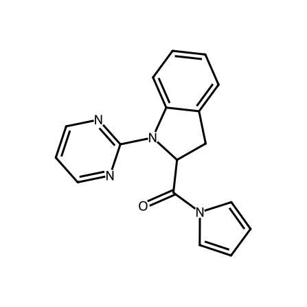 O=C(C1Cc2ccccc2N1c1ncccn1)n1cccc1